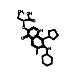 CCC(Oc1c[nH]c2c(C3CCCC3)c(NC3CCCCC3)c(F)cc2c1=O)C(=O)O